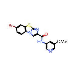 COc1cncc(NC(=O)c2cn3c(n2)sc2cc(Br)ccc23)c1